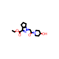 CCOC(=O)c1nn(CC(=O)N2CCC(O)CC2)c2c1CCC2